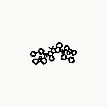 CC1(C)c2cc(N(c3cccc(-c4ccccc4)c3)c3cccc4c3oc3ccccc34)c3ccccc3c2-c2cc(N(c3cccc(-c4ccccc4)c3)c3cccc4c3oc3ccccc34)c3ccccc3c21